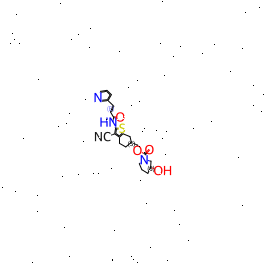 N#Cc1c(NC(=O)/C=C/c2cccnc2)sc2c1CC[C@H](COC(=O)N1CCC[C@H](O)C1)C2